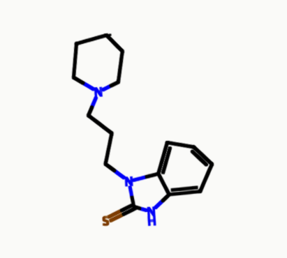 S=c1[nH]c2ccccc2n1CCCN1CC[CH]CC1